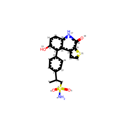 CC(CS(N)(=O)=O)c1ccc(-c2c(O)ccc3[nH]c(=O)c4sccc4c23)cc1